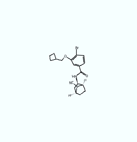 N#CN1[C@H]2CC[C@@H]1[C@H](NC(=O)c1ccc(Br)c(OCC3CCC3)c1)C2